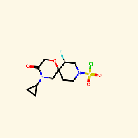 O=C1COC2(CCN(S(=O)(=O)Cl)C[C@@H]2F)CN1C1CC1